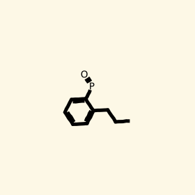 CCCc1ccccc1P=O